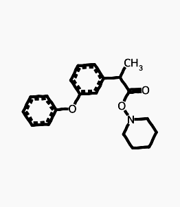 CC(C(=O)ON1CCCCC1)c1cccc(Oc2ccccc2)c1